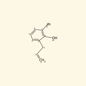 C=CCc1cccc(C(C)C)c1O